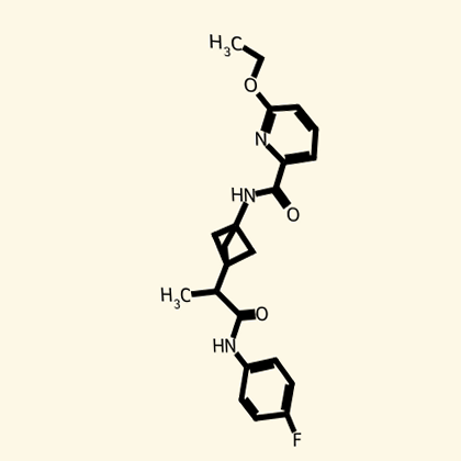 CCOc1cccc(C(=O)NC23CC(C(C)C(=O)Nc4ccc(F)cc4)(C2)C3)n1